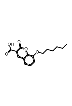 CCCCCCOc1cccc2cc(C(=O)O)c(=O)oc12